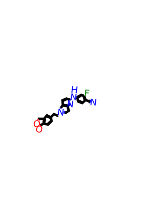 N#Cc1ccc(Nc2ccc3c(n2)CCN(CCc2ccc4c(c2)COC4=O)C3)cc1F